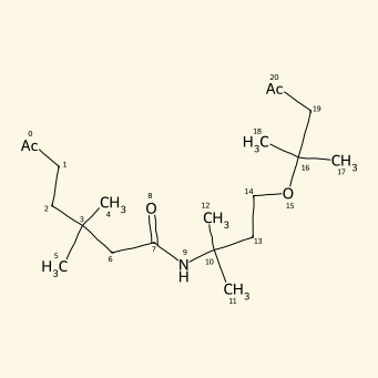 CC(=O)CCC(C)(C)CC(=O)NC(C)(C)CCOC(C)(C)CC(C)=O